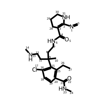 C=NC1=C(C(=O)NCCC(C)(CCNC)c2c(Cl)ccc(C(=O)NC)c2CC)CCCN1